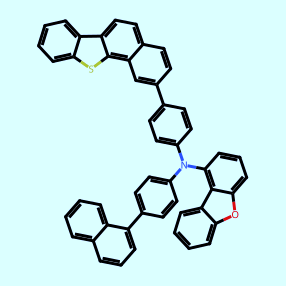 c1ccc2c(-c3ccc(N(c4ccc(-c5ccc6ccc7c8ccccc8sc7c6c5)cc4)c4cccc5oc6ccccc6c45)cc3)cccc2c1